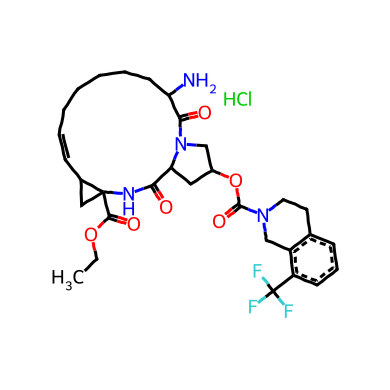 CCOC(=O)C12CC1/C=C\CCCCCC(N)C(=O)N1CC(OC(=O)N3CCc4cccc(C(F)(F)F)c4C3)CC1C(=O)N2.Cl